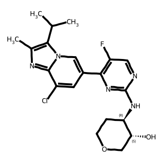 Cc1nc2c(Cl)cc(-c3nc(N[C@@H]4CCOC[C@H]4O)ncc3F)cn2c1C(C)C